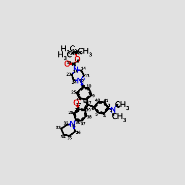 CN(C)c1ccc(-c2c3ccc(=[N+]4CCN(C(=O)OC(C)(C)C)CC4)cc-3oc3cc(N4CCCCC4)ccc23)cc1